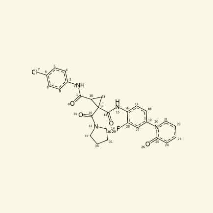 O=C(Nc1ccc(Cl)cc1)C1CC1(C(=O)Nc1ccc(-n2ccccc2=O)cc1F)C(=O)N1CCCC1